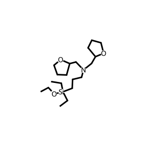 CCO[Si](CC)(CC)CCCN(CC1CCCO1)CC1CCCO1